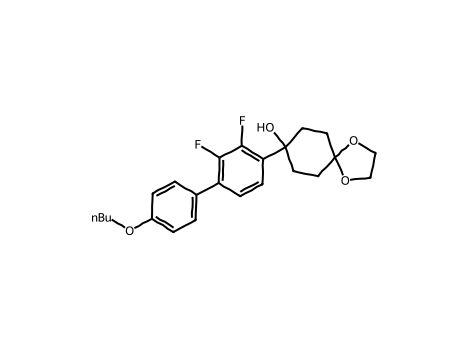 CCCCOc1ccc(-c2ccc(C3(O)CCC4(CC3)OCCO4)c(F)c2F)cc1